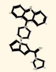 O=C(C1=CC2=CC=C[N@@+]2(N2CCN(c3c4ccccc4nc4ccccc34)CC2)C1)N1CCSC1